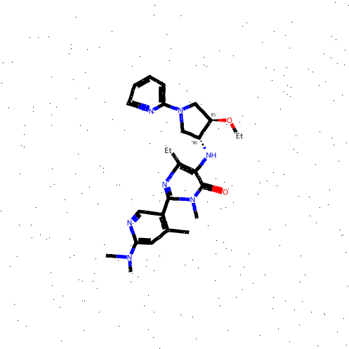 CCO[C@@H]1CN(c2ccccn2)C[C@H]1Nc1c(CC)nc(-c2cnc(N(C)C)cc2C)n(C)c1=O